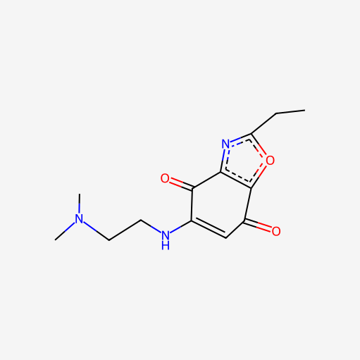 CCc1nc2c(o1)C(=O)C=C(NCCN(C)C)C2=O